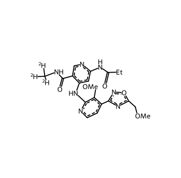 [2H]C([2H])([2H])NC(=O)c1cnc(NC(=O)CC)cc1Nc1nccc(-c2noc(COC)n2)c1OC